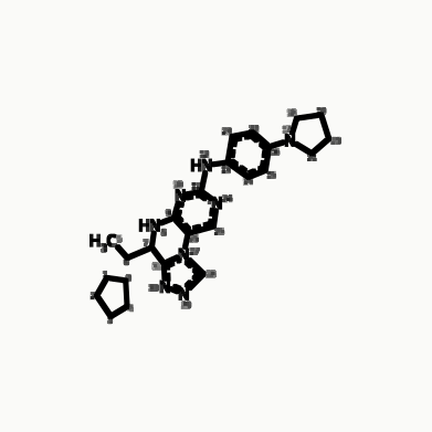 C1CCCC1.CCC1Nc2nc(Nc3ccc(N4CCCC4)cc3)ncc2-n2cnnc21